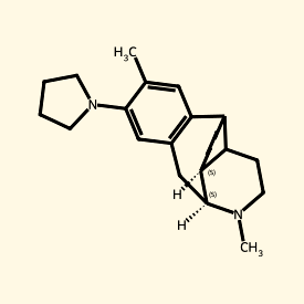 Cc1cc2c(cc1N1CCCC1)C[C@H]1[C@H]3CCCCC2C3CCN1C